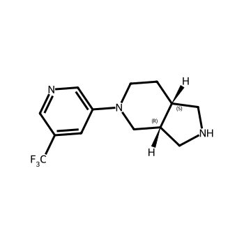 FC(F)(F)c1cncc(N2CC[C@@H]3CNC[C@@H]3C2)c1